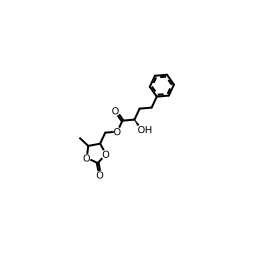 CC1OC(=O)OC1COC(=O)[C@H](O)CCc1ccccc1